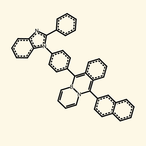 C1=CB2C(c3ccc(-n4c(-c5ccccc5)nc5ccccc54)cc3)=c3ccccc3=C(c3ccc4ccccc4c3)N2C=C1